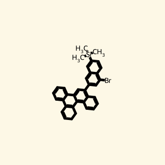 C[Si](C)(C)c1ccc2c(Br)cc(-c3cc4c5ccccc5c5c(c4c4ccccc34)CCC=C5)cc2c1